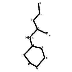 CCCC(F)NC1CCCCC1